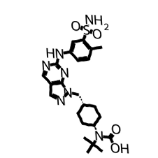 Cc1ccc(Nc2ncc3cnn(C[C@H]4CC[C@@H](N(C(=O)O)C(C)(C)C)CC4)c3n2)cc1S(N)(=O)=O